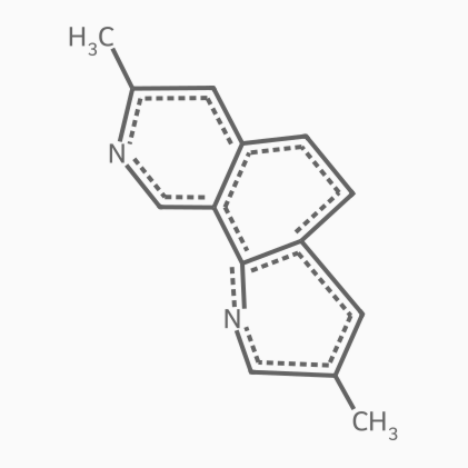 Cc1cnc2c(ccc3cc(C)ncc32)c1